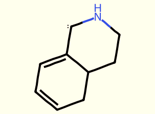 [C]1NCCC2CC=CC=C12